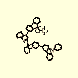 CC1(C)c2ccccc2-c2ccc(-c3cc(-n4c5ccccc5c5cc(-c6ccc7c(c6)c6ccccc6n7-c6ccccc6)ccc54)nc4ccccc34)cc21